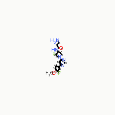 NCCC(=O)N[C@H]1CCN(c2cc(-c3ccc(OC(F)(F)F)c(F)c3)ncn2)C[C@@H]1F